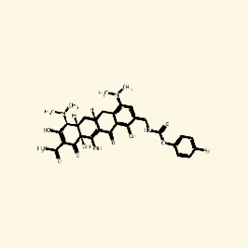 CN(C)c1cc(CNC(=O)Oc2ccc(Br)cc2)c(O)c2c1C[C@H]1C[C@H]3[C@H](N(C)C)C(O)=C(C(N)=O)C(=O)[C@@]3(O)C(O)=C1C2=O